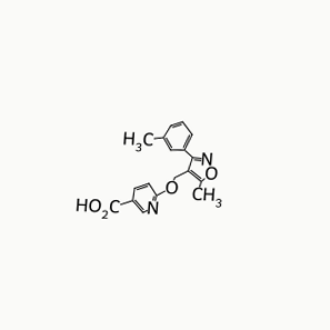 Cc1cccc(-c2noc(C)c2COc2ccc(C(=O)O)cn2)c1